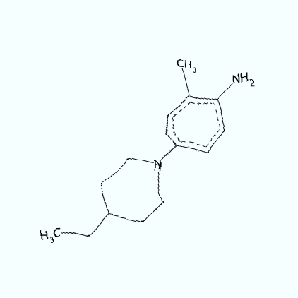 CCC1CCN(c2ccc(N)c(C)c2)CC1